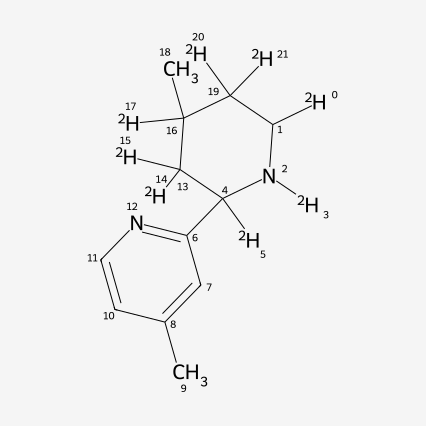 [2H]C1N([2H])C([2H])(c2cc(C)ccn2)C([2H])([2H])C([2H])(C)C1([2H])[2H]